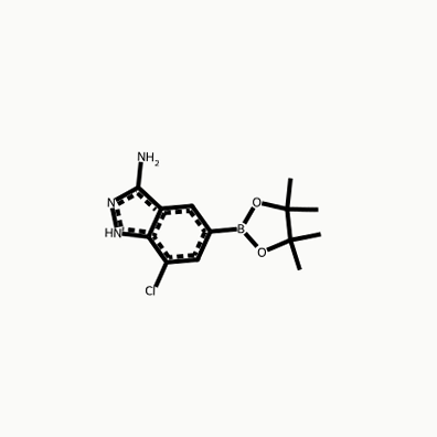 CC1(C)OB(c2cc(Cl)c3[nH]nc(N)c3c2)OC1(C)C